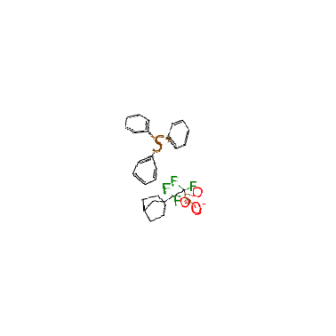 O=S(=O)([O-])C(F)(F)C(F)(F)C12CCC(CC1)C2.c1ccc([S+](c2ccccc2)c2ccccc2)cc1